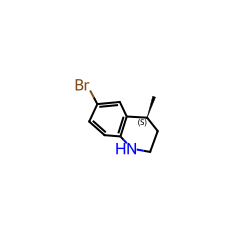 C[C@H]1CCNc2ccc(Br)cc21